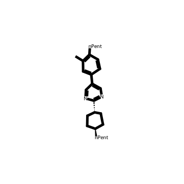 CCCCCc1ccc(-c2cnc([C@H]3CC[C@H](CCCCC)CC3)nc2)cc1C